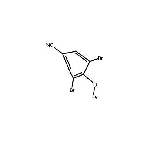 CC(C)Oc1c(Br)cc(C#N)cc1Br